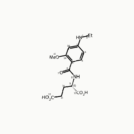 CCNc1ccc(C(=O)N[C@@H](CCC(=O)O)C(=O)O)c(OC)c1